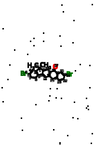 CC1(C)c2cc(Br)ccc2-c2cc3c(cc21)C(=O)c1cc(Br)ccc1C3